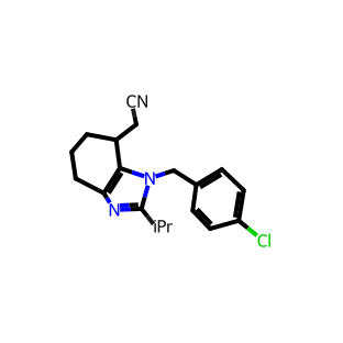 CC(C)c1nc2c(n1Cc1ccc(Cl)cc1)C(CC#N)CCC2